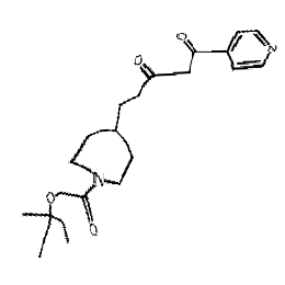 CC(C)(C)OC(=O)N1CCC(CCC(=O)CC(=O)c2ccncc2)CC1